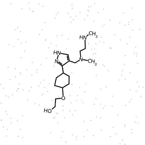 CNCCN(C)Cc1c[nH]nc1C1CCC(OCCO)CC1